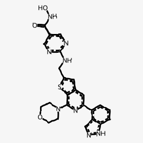 O=C(NO)c1cnc(NCc2cc3cc(-c4cccc5[nH]ncc45)nc(N4CCOCC4)c3s2)nc1